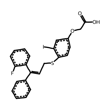 O=C(O)COc1ccc(SCC=C(c2ccccc2)c2ccccc2F)c(I)c1